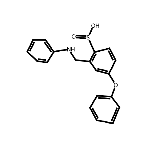 O=S(O)c1ccc(Oc2ccccc2)cc1CNc1ccccc1